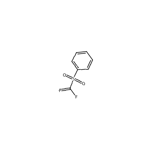 O=S(=O)(C(F)=[P])c1ccccc1